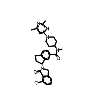 Cc1cc(N2CCC(N(C)C(=O)c3ccc4c(c3)[C@H](N3Cc5cccc(Cl)c5C3=O)CC4)CC2)nc(C)n1